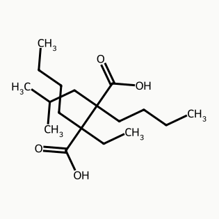 CCCCC(CC)(C(=O)O)C(CCCC)(CC(C)C)C(=O)O